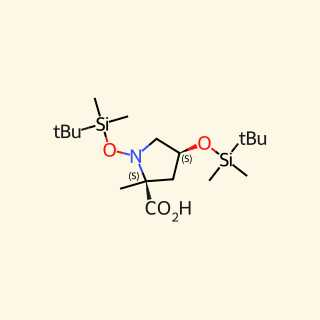 CC(C)(C)[Si](C)(C)O[C@@H]1CN(O[Si](C)(C)C(C)(C)C)[C@](C)(C(=O)O)C1